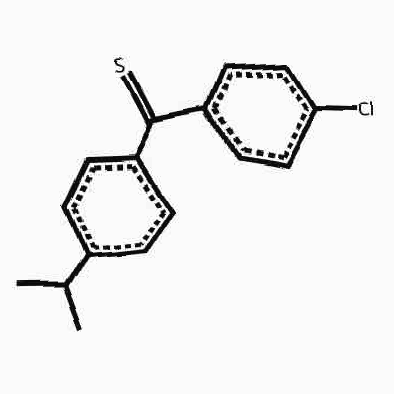 CC(C)c1ccc(C(=S)c2ccc(Cl)cc2)cc1